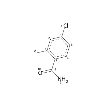 Cc1cc(Cl)ccc1C(N)=O